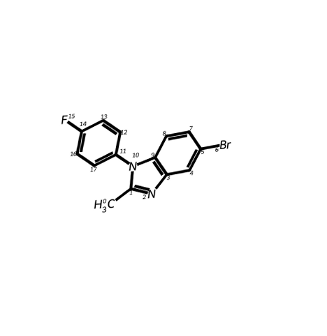 Cc1nc2cc(Br)ccc2n1-c1ccc(F)cc1